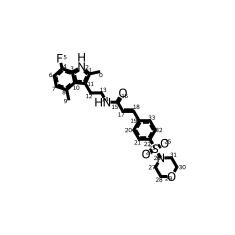 Cc1[nH]c2c(F)ccc(C)c2c1CCNC(=O)/C=C/c1ccc(S(=O)(=O)N2CCOCC2)cc1